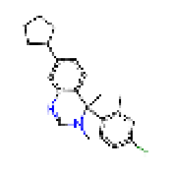 Cc1cc(F)ccc1C1(C)c2ccc(C3CCCC3)cc2N=CN1C